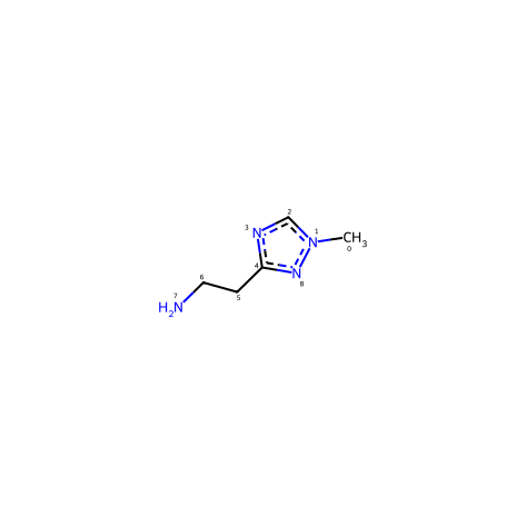 Cn1cnc(CCN)n1